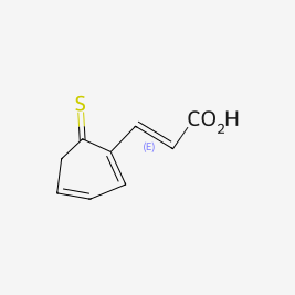 O=C(O)/C=C/C1=CC=CCC1=S